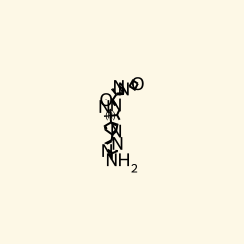 CC(C)[C@](C)(c1ccc(-c2cnc(N)cn2)nc1)c1noc(-c2cnn(C3COC3)c2)n1